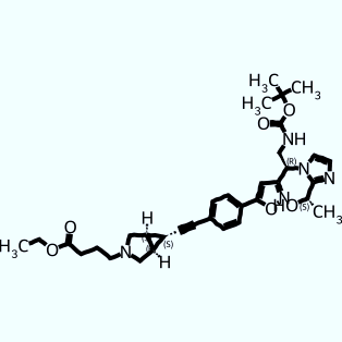 CCOC(=O)CCCN1C[C@@H]2[C@@H](C#Cc3ccc(-c4cc([C@@H](CNC(=O)OC(C)(C)C)n5ccnc5[C@H](C)O)no4)cc3)[C@@H]2C1